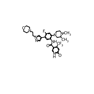 CC1CN(c2cc(F)c(-c3cnn(CCN4CCOCC4)c3)cc2NC(=O)c2c[nH]c(=O)cc2C(F)(F)F)CCN1C